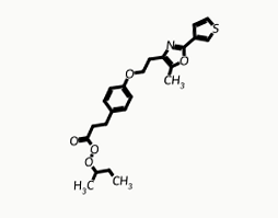 CCC(C)OOC(=O)CCc1ccc(OCCc2nc(-c3ccsc3)oc2C)cc1